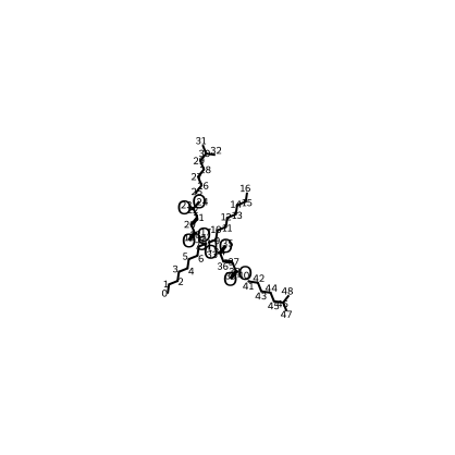 CCCCCCC[CH2][Sn]([CH2]CCCCCCC)([O]C(=O)/C=C/C(=O)OCCCCCC(C)C)[O]C(=O)/C=C/C(=O)OCCCCCC(C)C